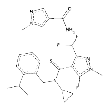 CC(C)c1ccccc1CN(C(=S)c1c(C(F)F)nn(C)c1F)C1CC1.Cn1cc(C(N)=O)cn1